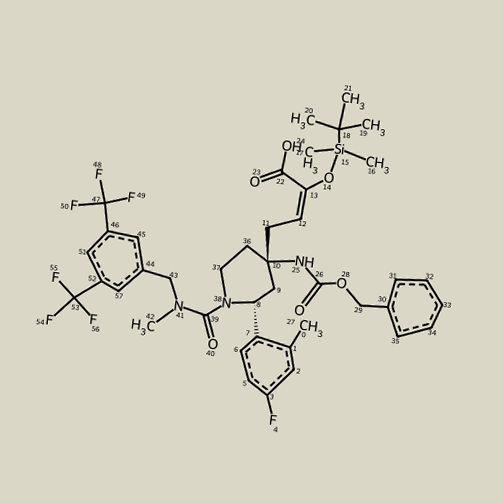 Cc1cc(F)ccc1[C@H]1C[C@@](C/C=C(/O[Si](C)(C)C(C)(C)C)C(=O)O)(NC(=O)OCc2ccccc2)CCN1C(=O)N(C)Cc1cc(C(F)(F)F)cc(C(F)(F)F)c1